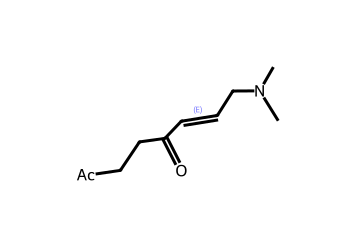 CC(=O)CCC(=O)/C=C/CN(C)C